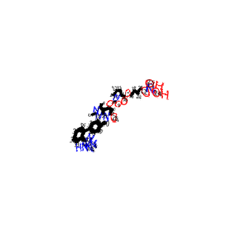 Cc1nc(C)c2c(OC(=O)N3CCCC3C(=O)OCCCCON(O)O)cc(=O)n(Cc3ccc(-c4ccccc4-c4nnn[nH]4)cc3)c2n1